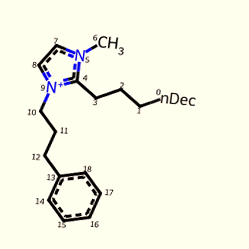 CCCCCCCCCCCCCc1n(C)cc[n+]1CCCc1ccccc1